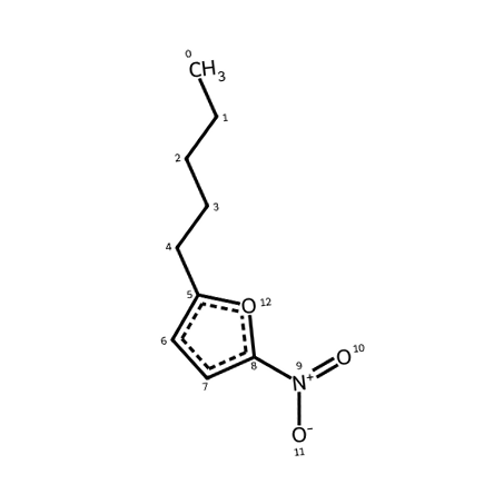 CCCCCc1ccc([N+](=O)[O-])o1